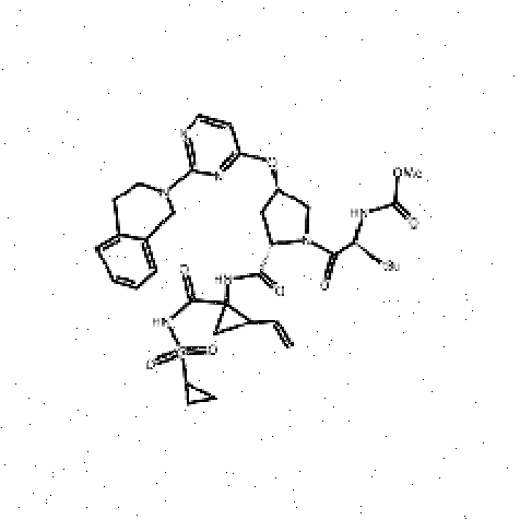 C=CC1CC1(NC(=O)[C@@H]1C[C@@H](Oc2ccnc(N3CCc4ccccc4C3)n2)CN1C(=O)[C@@H](NC(=O)OC)C(C)(C)C)C(=O)NS(=O)(=O)C1CC1